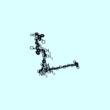 CC(C)[C@H](NC(=O)CCOCCOCCOCCOCCOCCOCCN1C(=O)C=CC1=O)C(=O)N[C@@H](CCCNC(N)=O)C(=O)Nc1ccc(COC(=O)N(C)CCN(C)C(=O)Oc2cc3c(c4ccccc24)[C@H](CCl)CN3C(=O)c2ccc(C(=O)N3C[C@@H](CCl)c4c3cc(OP(=O)(O)O)c3ccccc43)s2)cc1